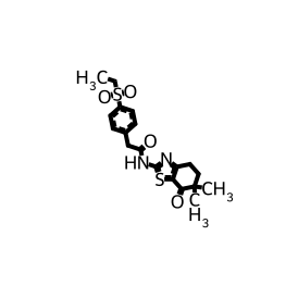 CCS(=O)(=O)c1ccc(CC(=O)Nc2nc3c(s2)C(=O)C(C)(C)CC3)cc1